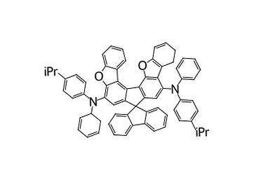 CC(C)c1ccc(N(c2ccccc2)c2cc3c(c4oc5c(c24)CCC=C5)-c2c(cc(N(c4ccc(C(C)C)cc4)C4C=CC=CC4)c4oc5ccccc5c24)C32c3ccccc3-c3ccccc32)cc1